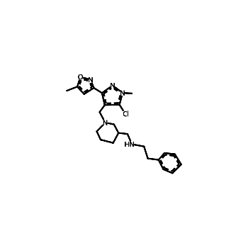 Cc1cc(-c2nn(C)c(Cl)c2CN2CCCC(CNCCc3ccccc3)C2)no1